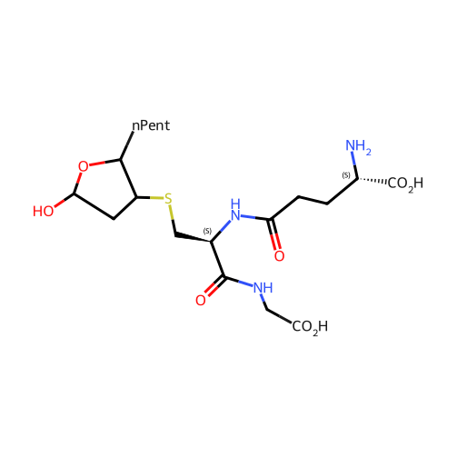 CCCCCC1OC(O)CC1SC[C@@H](NC(=O)CC[C@H](N)C(=O)O)C(=O)NCC(=O)O